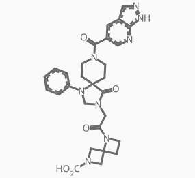 O=C(O)N1CC2(CCN2C(=O)CN2CN(c3ccccc3)C3(CCN(C(=O)c4cnc5[nH]ncc5c4)CC3)C2=O)C1